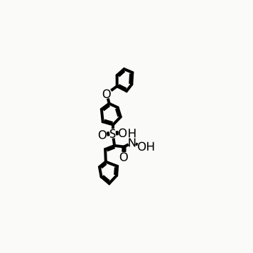 O=C(NO)/C(=C\c1ccccc1)S(=O)(=O)c1ccc(Oc2ccccc2)cc1